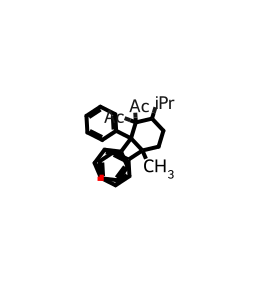 CC(=O)C1(C(C)=O)C(C(C)C)CCC(C)(c2ccccc2)C1(c1ccccc1)c1ccccc1